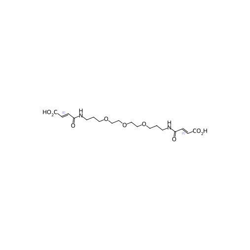 O=C(O)/C=C/C(=O)NCCCOCCOCCOCCCNC(=O)/C=C/C(=O)O